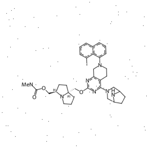 CNC(=O)OC[C@H]1CC[C@@]2(COc3nc4c(c(N5CC6CCC(C5)N6)n3)CCN(c3cccc5cccc(C)c35)C4)CCCN12